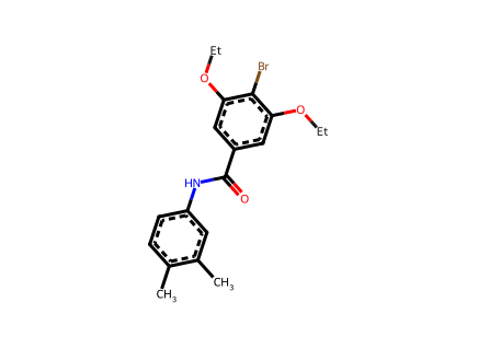 CCOc1cc(C(=O)Nc2ccc(C)c(C)c2)cc(OCC)c1Br